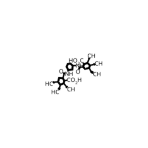 C#Cc1cc(C(=O)Nc2cccc(NC(=O)c3cc(C#C)c(C#C)c(C#C)c3C(=O)O)c2)c(C(=O)O)c(C#C)c1C#C